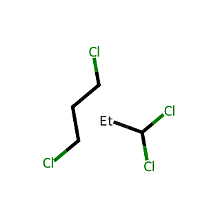 CCC(Cl)Cl.ClCCCCl